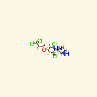 ClC(Cl)=CCOc1cc(Cl)c(C2CNCCN2)c(Cl)c1